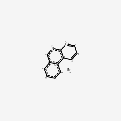 [Br-].[C+]1=CC=Cc2c1ncc1ccccc21